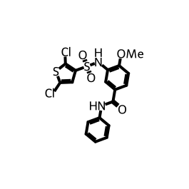 COc1ccc(C(=O)Nc2ccccc2)cc1NS(=O)(=O)c1cc(Cl)sc1Cl